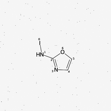 INc1ncco1